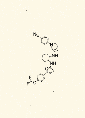 N#Cc1ccc(N2CC3CC2[C@@H](N[C@@H]2CCCC[C@H]2Nc2ncc(-c4ccc(OC(F)F)cc4)o2)C3)cc1